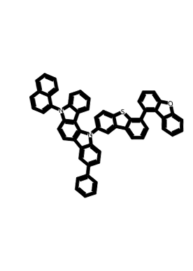 c1ccc(-c2ccc3c(c2)c2ccc4c(c5ccccc5n4-c4cccc5ccccc45)c2n3-c2ccc3sc4c(-c5cccc6oc7ccccc7c56)cccc4c3c2)cc1